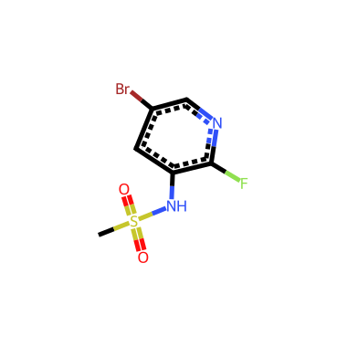 CS(=O)(=O)Nc1cc(Br)cnc1F